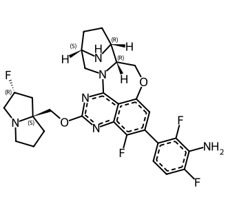 Nc1c(F)ccc(-c2cc3c4c(nc(OC[C@@]56CCCN5C[C@H](F)C6)nc4c2F)N2C[C@@H]4CC[C@@H](N4)[C@@H]2CO3)c1F